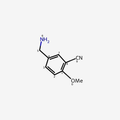 COc1ccc(CN)cc1C#N